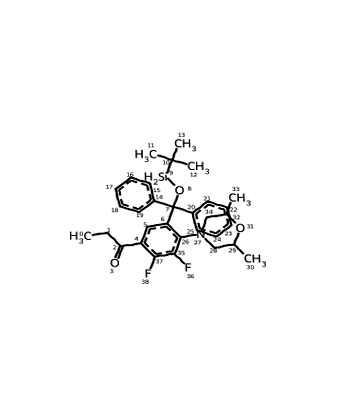 CCC(=O)c1cc(C(O[SiH2]C(C)(C)C)(c2ccccc2)c2ccccc2)c(N2CC(C)OC(C)C2)c(F)c1F